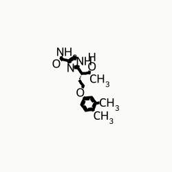 Cc1ccc(OCC[C@H](c2nc(C(N)=O)c[nH]2)[C@H](C)O)cc1C